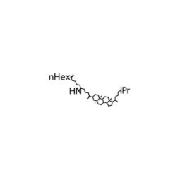 C=C(CCCCCC)CCCCC(=N)CCCC(=C)C1CCC2(C)C3CCC4(C)C(C(C)CCCC(C)C)CCC4C3CC[C@@]2(C)C1